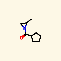 CC1CN1C(=O)C1CCCC1